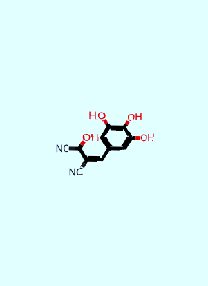 N#CC(=Cc1cc(O)c(O)c(O)c1)C(O)C#N